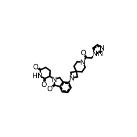 O=C1CCC(N2Cc3c(cccc3N3CC4(CCN(C(=O)Cn5ccnn5)CC4)C3)C2=O)C(=O)N1